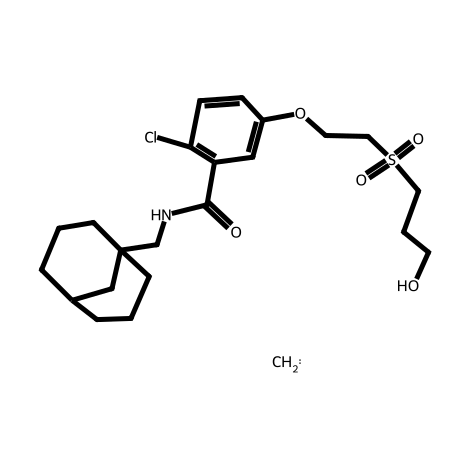 O=C(NCC12CCCC(CCC1)C2)c1cc(OCCS(=O)(=O)CCCO)ccc1Cl.[CH2]